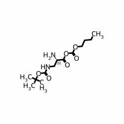 CCCCOC(=O)OC(=O)[C@@H](N)CNC(=O)OC(C)(C)C